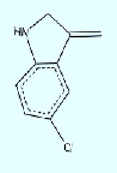 C=C1CNc2ccc(Cl)cc21